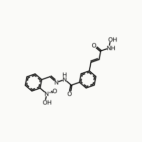 O=C(/C=C/c1cccc(C(=O)N/N=C/c2ccccc2[N+](=O)O)c1)NO